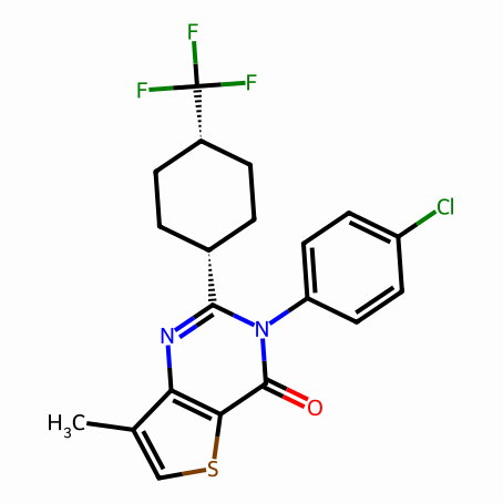 Cc1csc2c(=O)n(-c3ccc(Cl)cc3)c([C@H]3CC[C@@H](C(F)(F)F)CC3)nc12